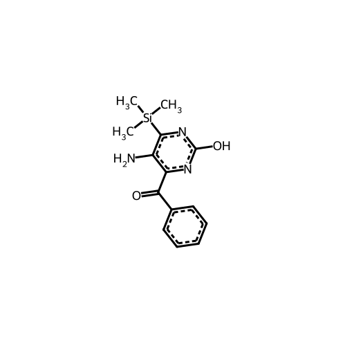 C[Si](C)(C)c1nc(O)nc(C(=O)c2ccccc2)c1N